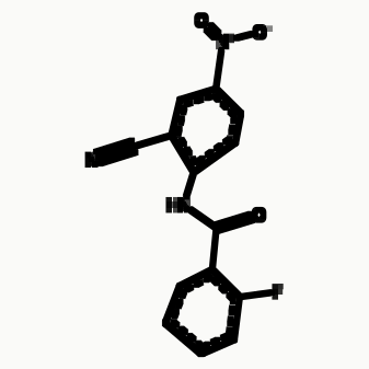 N#Cc1cc([N+](=O)[O-])ccc1NC(=O)c1ccccc1F